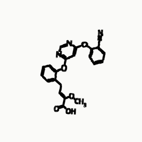 COC(=CCc1ccccc1Oc1cc(Oc2ccccc2C#N)ncn1)C(=O)O